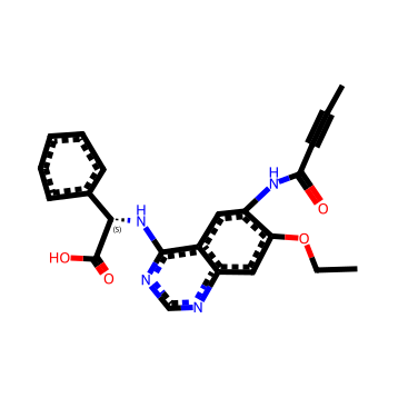 CC#CC(=O)Nc1cc2c(N[C@H](C(=O)O)c3ccccc3)ncnc2cc1OCC